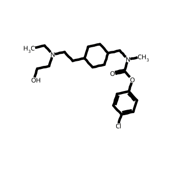 CCN(CCO)CCC1CCC(CN(C)C(=O)Oc2ccc(Cl)cc2)CC1